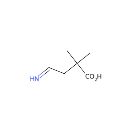 CC(C)(CC=N)C(=O)O